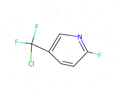 Fc1ccc(C(F)(F)Cl)cn1